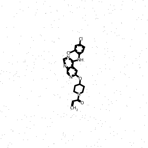 C=CC(=O)N1CCC(Oc2cc3c(Nc4ccc(Cl)cc4Cl)ncnc3cn2)CC1